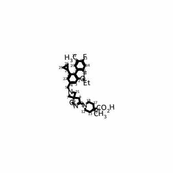 CCOc1cc(CN2CC3(CC(N4CCC(C)(C(=O)O)CC4)=NO3)C2)cc(C2CC2)c1-c1cc(C)c(F)cc1F